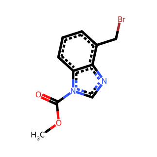 COC(=O)n1cnc2c(CBr)cccc21